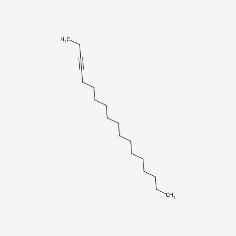 CCC#CCCCCCCCCCCCCCC